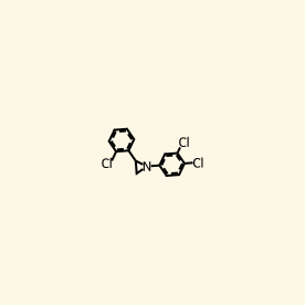 Clc1ccc(N2CC2c2ccccc2Cl)cc1Cl